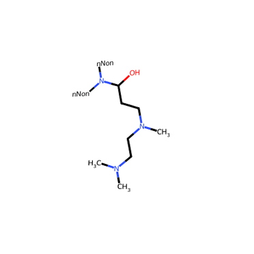 CCCCCCCCCN(CCCCCCCCC)C(O)CCN(C)CCN(C)C